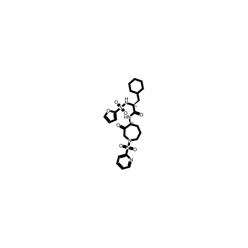 O=C1CN(S(=O)(=O)c2ccccn2)CCC[C@@H]1NC(=O)[C@H](CC1CCCCC1)NS(=O)(=O)c1ccco1